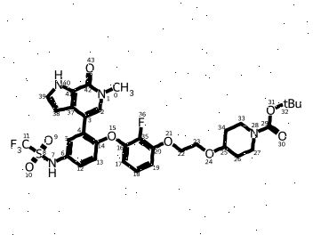 Cn1cc(-c2cc(NS(=O)(=O)C(F)(F)F)ccc2Oc2cccc(OCCOC3CCN(C(=O)OC(C)(C)C)CC3)c2F)c2cc[nH]c2c1=O